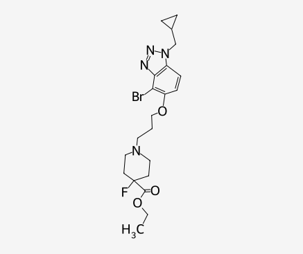 CCOC(=O)C1(F)CCN(CCCOc2ccc3c(nnn3CC3CC3)c2Br)CC1